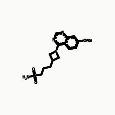 COc1ccc2c(N3CC(CCCS(N)(=O)=O)C3)ncnc2c1